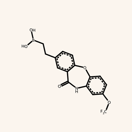 O=C1Nc2cc(OC(F)(F)F)ccc2Oc2ccc(CCB(O)O)cc21